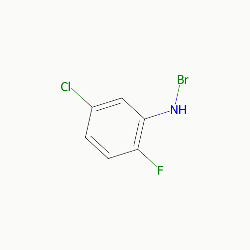 Fc1ccc(Cl)cc1NBr